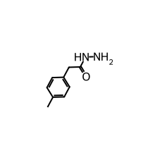 Cc1ccc(CC(=O)NN)cc1